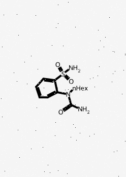 CCCCCCN(C(N)=O)c1ccccc1S(N)(=O)=O